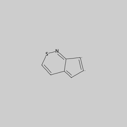 [c]1[c]c2nsccc-2c1